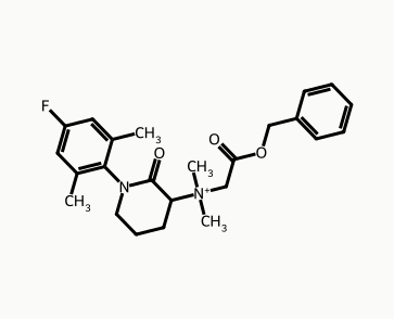 Cc1cc(F)cc(C)c1N1CCCC([N+](C)(C)CC(=O)OCc2ccccc2)C1=O